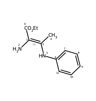 CCOC(=O)/C(N)=C(\C)Nc1ccccc1